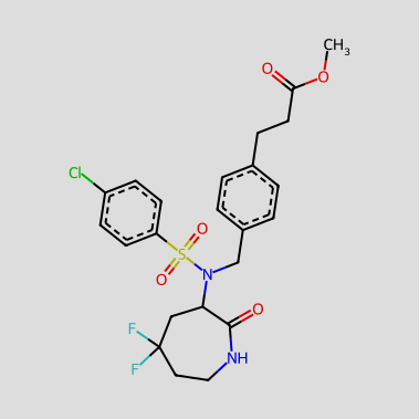 COC(=O)CCc1ccc(CN(C2CC(F)(F)CCNC2=O)S(=O)(=O)c2ccc(Cl)cc2)cc1